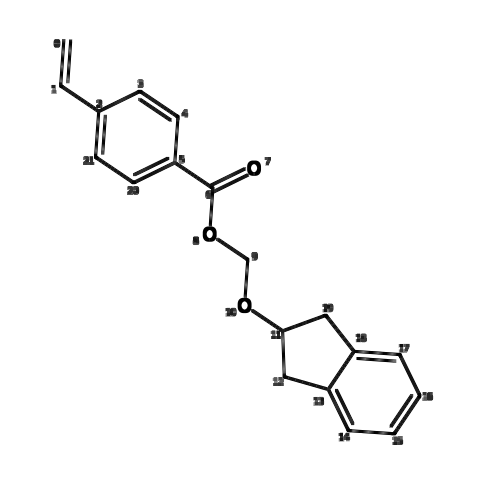 C=Cc1ccc(C(=O)OCOC2Cc3ccccc3C2)cc1